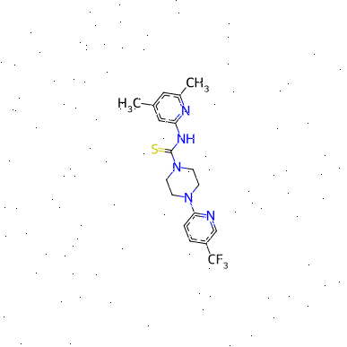 Cc1cc(C)nc(NC(=S)N2CCN(c3ccc(C(F)(F)F)cn3)CC2)c1